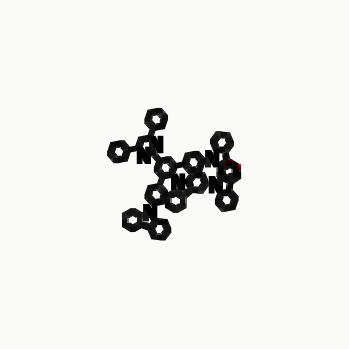 c1ccc(-c2cc(-c3ccccc3)nc(-c3cc(-c4ccc(-n5c6ccccc6c6ccccc65)cc4)c(-n4c5ccccc5c5cc(-n6c7ccccc7c7ccccc76)ccc54)c(-c4ccc(-n5c6ccccc6c6ccccc65)cc4)c3)n2)cc1